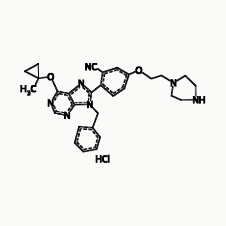 CC1(Oc2ncnc3c2nc(-c2ccc(OCCN4CCNCC4)cc2C#N)n3Cc2ccccc2)CC1.Cl